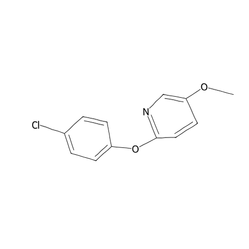 COc1ccc(Oc2ccc(Cl)cc2)nc1